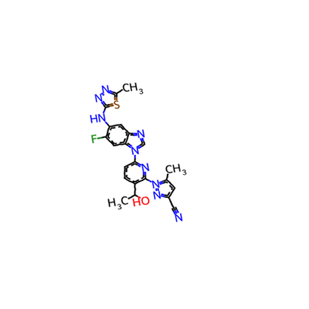 Cc1nnc(Nc2cc3ncn(-c4ccc(C(C)O)c(-n5nc(C#N)cc5C)n4)c3cc2F)s1